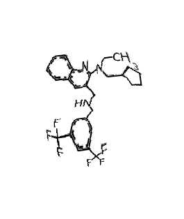 CCN(CC1CCCC1)c1nc2ccccc2cc1CNCc1cc(C(F)(F)F)cc(C(F)(F)F)c1